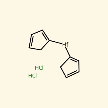 C1=CC[C]([Hf][C]2=CC=CC2)=C1.Cl.Cl